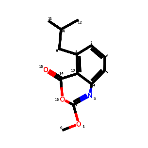 COc1nc2cccc(CC(C)C)c2c(=O)o1